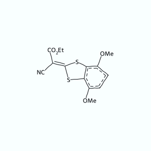 CCOC(=O)C(C#N)=C1Sc2c(OC)ccc(OC)c2S1